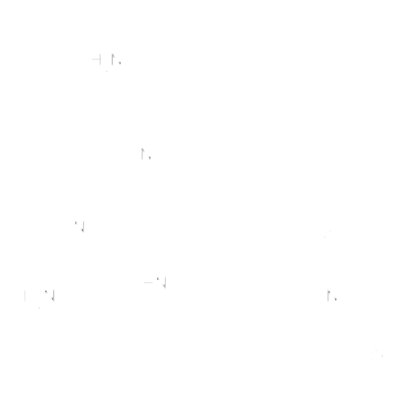 NC(=O)c1ncc(N2CCCC(N)C2)cc1Nc1ccc(C(=O)N2CCOCC2)cc1